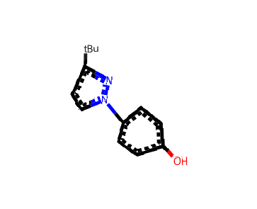 CC(C)(C)c1c[c]n(-c2ccc(O)cc2)n1